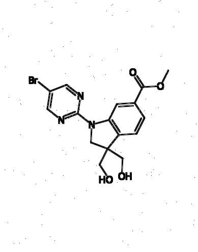 COC(=O)c1ccc2c(c1)N(c1ncc(Br)cn1)CC2(CO)CO